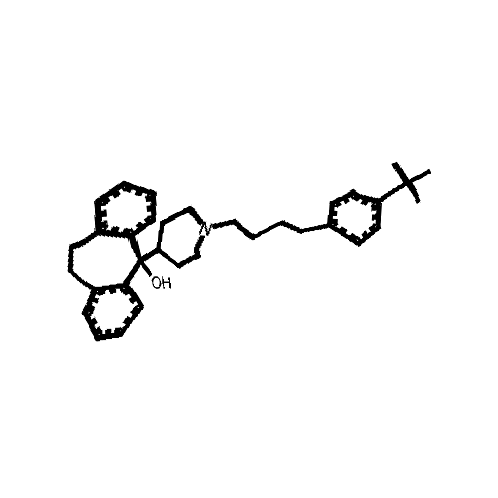 CC(C)(C)c1ccc(CCCCN2CCC(C3(O)c4ccccc4CCc4ccccc43)CC2)cc1